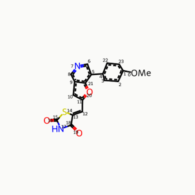 COc1ccc(-c2cncc3cc(/C=C4\SC(=O)NC4=O)oc23)cc1